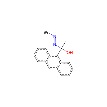 CC(C)/N=N/C(C)(O)c1c2ccccc2cc2ccccc12